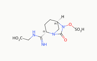 N=C(NCC(=O)O)[C@@H]1CC[C@@H]2CN1C(=O)N2OS(=O)(=O)O